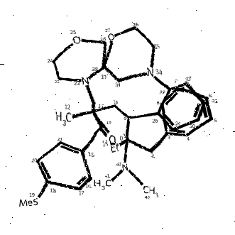 CCC(Cc1ccccc1)(C(CC(C)(C(=O)c1ccc(SC)cc1)N1CCOCC1)c1ccccc1N1CCOCC1)N(C)C